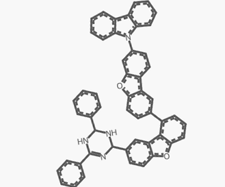 c1ccc(C2=NC(c3ccc4oc5cccc(-c6ccc7oc8cc(-n9c%10ccccc%10c%10ccccc%109)ccc8c7c6)c5c4c3)NC(c3ccccc3)N2)cc1